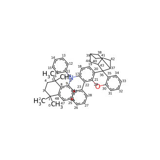 CC1(C)CCC(C)(C)c2c(N(c3ccccc3)c3ccc4c(c3-c3ccccc3)Oc3ccccc3C43C4CC5CC(C4)C3C5)cccc21